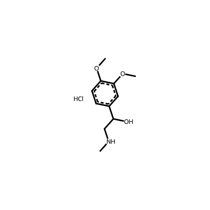 CNCC(O)c1ccc(OC)c(OC)c1.Cl